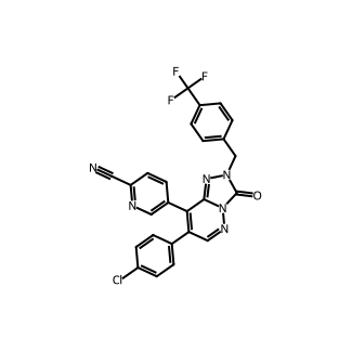 N#Cc1ccc(-c2c(-c3ccc(Cl)cc3)cnn3c(=O)n(Cc4ccc(C(F)(F)F)cc4)nc23)cn1